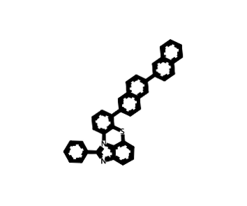 c1ccc(-c2nc3cccc4c3n2-c2cccc(-c3ccc5cc(-c6ccc7ccccc7c6)ccc5c3)c2S4)cc1